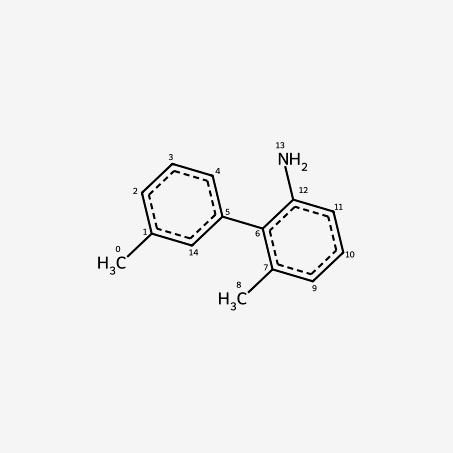 Cc1cccc(-c2c(C)cccc2N)c1